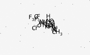 Cn1ccc(CNC(=O)C2(C)C(=O)Nc3nc(-n4nc(CCC(F)(F)C(F)(F)F)c5cc(Cl)ccc54)nc(N)c32)n1